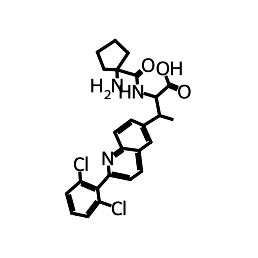 CC(c1ccc2nc(-c3c(Cl)cccc3Cl)ccc2c1)C(NC(=O)C1(N)CCCC1)C(=O)O